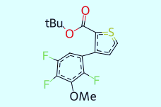 COc1c(F)c(F)cc(-c2ccsc2C(=O)OC(C)(C)C)c1F